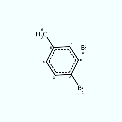 [B].[B]c1ccc(C)cc1